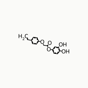 C=Cc1ccc(OCC(=O)Oc2ccc(O)c(O)c2)cc1